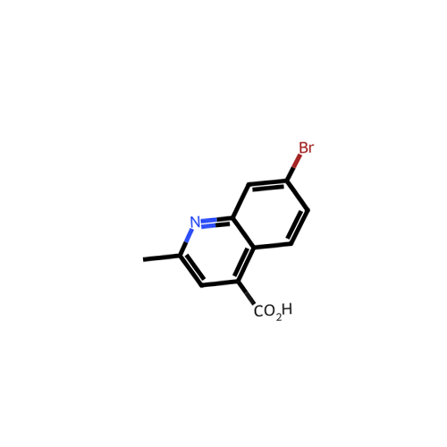 Cc1cc(C(=O)O)c2ccc(Br)cc2n1